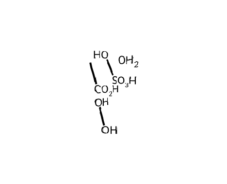 CC(=O)O.O.O=S(=O)(O)O.OO